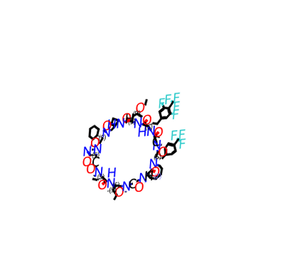 CCO[C@@H]1C[C@H]2C(=O)NC3(CCC3)C(=O)N(C)[C@@H](C3CCCCC3)C(=O)N(C)[C@H](C(=O)N(C)C)CC(=O)N(C)[C@@H](CC)C(=O)N[C@@H]([C@@H](C)CC)C(=O)N(C)CC(=O)N(C)[C@H]3C/C=C\CCN(C3=O)[C@@H](Cc3ccc(C(F)(F)F)cc3)C(=O)N(C)CC(=O)N[C@@H](CCc3cc(F)c(C(F)(F)F)c(F)c3)C(=O)N2C1